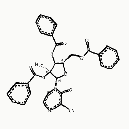 C[C@]1(OC(=O)c2ccccc2)C(OC(=O)c2ccccc2)[C@@H](COC(=O)c2ccccc2)O[C@H]1n1ccnc(C#N)c1=O